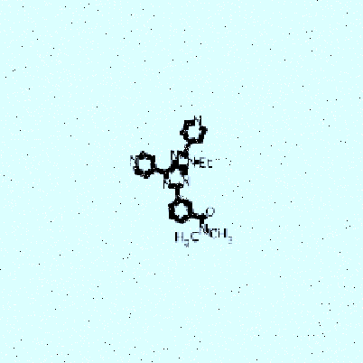 CCn1c(-c2ccncc2)nc2c(-c3ccncc3)nc(-c3cccc(C(=O)N(C)C)c3)nc21